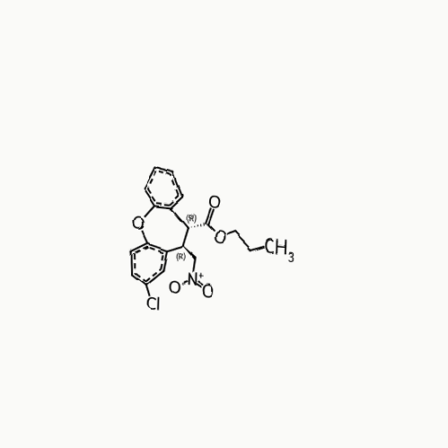 CCCOC(=O)[C@H]1c2ccccc2Oc2ccc(Cl)cc2[C@@H]1C[N+](=O)[O-]